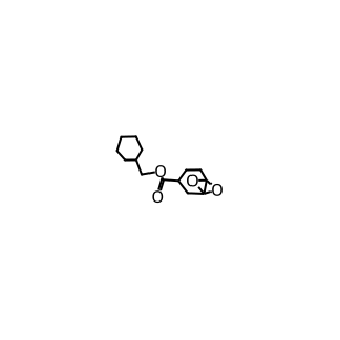 O=C(OCC1CCCCC1)C1CCC23OC2(C1)O3